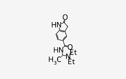 CCN(CC)C(C)NC(=O)c1ccc2c(c1)CC(=O)N2